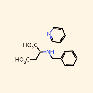 O=C(O)C[C@H](NCc1ccccc1)C(=O)O.c1ccncc1